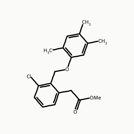 COC(=O)Cc1cccc(Cl)c1COc1cc(C)c(C)cc1C